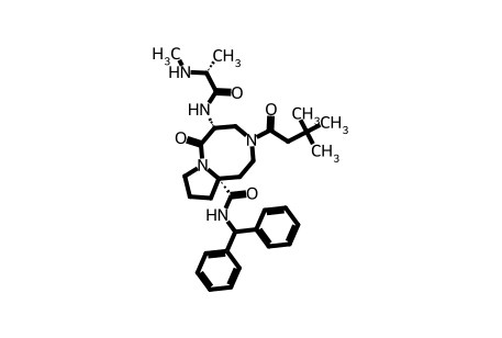 CN[C@H](C)C(=O)N[C@@H]1CN(C(=O)CC(C)(C)C)CC[C@@]2(C(=O)NC(c3ccccc3)c3ccccc3)CCCN2C1=O